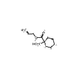 C=CCOC(=O)C1(C(=O)O)CCCCC1